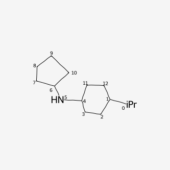 CC(C)C1CCC(NC2CCCC2)CC1